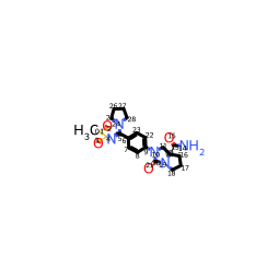 CS(=O)(=O)N=C(c1ccc(N2C[C@@]3(C(N)=O)[CH]CCN3C2=O)cc1)N1CCCC1